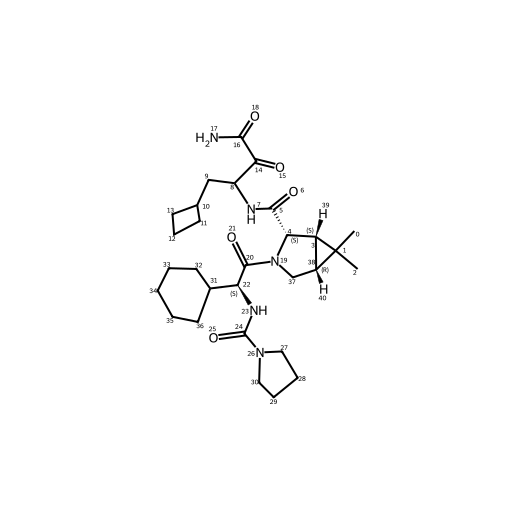 CC1(C)[C@H]2[C@@H](C(=O)NC(CC3CCC3)C(=O)C(N)=O)N(C(=O)[C@@H](NC(=O)N3CCCC3)C3CCCCC3)C[C@H]21